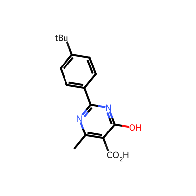 Cc1nc(-c2ccc(C(C)(C)C)cc2)nc(O)c1C(=O)O